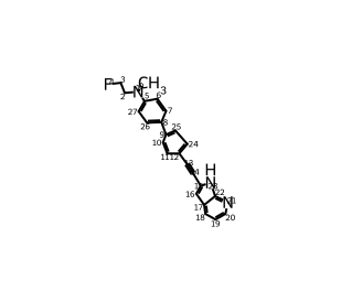 CN(CCF)c1ccc(-c2ccc(C#Cc3cc4cccnc4[nH]3)cc2)cc1